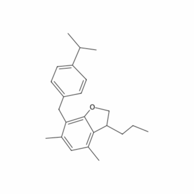 CCCC1COc2c(Cc3ccc(C(C)C)cc3)c(C)cc(C)c21